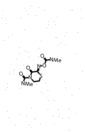 CNC(=O)ON=C1SCCN(C(=O)NC)C1=O